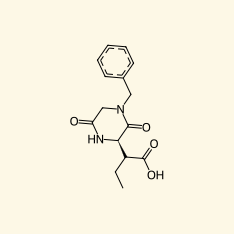 CCC(C(=O)O)[C@H]1NC(=O)CN(Cc2ccccc2)C1=O